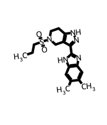 CCCS(=O)(=O)N1CCc2[nH]nc(-c3nc4cc(C)c(C)cc4[nH]3)c2C1